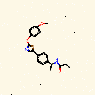 CCC(=O)NC(C)c1ccc(-c2cnc(Oc3ccc(OC)cc3)s2)cc1